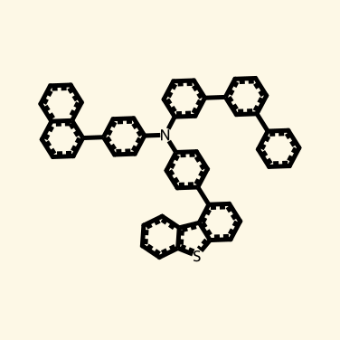 c1ccc(-c2cccc(-c3cccc(N(c4ccc(-c5cccc6ccccc56)cc4)c4ccc(-c5cccc6sc7ccccc7c56)cc4)c3)c2)cc1